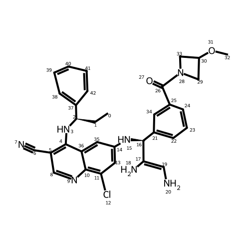 CC[C@@H](Nc1c(C#N)cnc2c(Cl)cc(N[C@H](/C(N)=C/N)c3cccc(C(=O)N4CC(OC)C4)c3)cc12)c1ccccc1